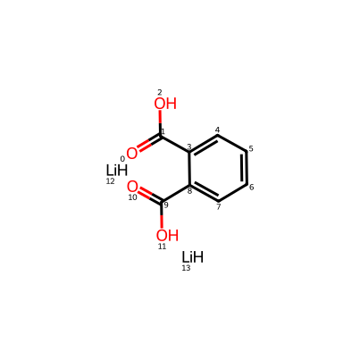 O=C(O)c1ccccc1C(=O)O.[LiH].[LiH]